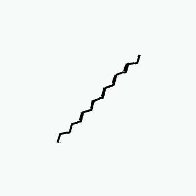 [CH2]CCCC=CC=CC=CC=CC=CCC